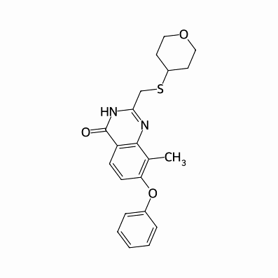 Cc1c(Oc2ccccc2)ccc2c(=O)[nH]c(CSC3CCOCC3)nc12